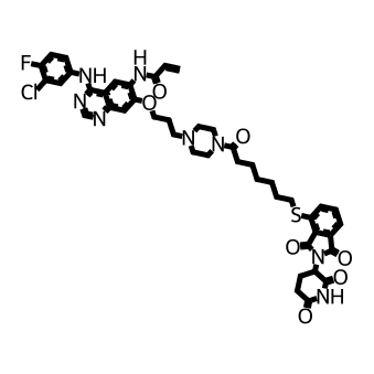 C=CC(=O)Nc1cc2c(Nc3ccc(F)c(Cl)c3)ncnc2cc1OCCCN1CCN(C(=O)CCCCCCSc2cccc3c2C(=O)N(C2CCC(=O)NC2=O)C3=O)CC1